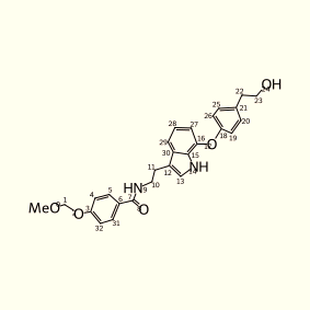 COCOc1ccc(C(=O)NCCc2c[nH]c3c(Oc4ccc(CCO)cc4)cccc23)cc1